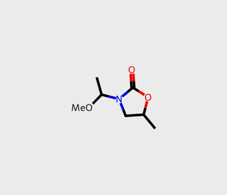 COC(C)N1CC(C)OC1=O